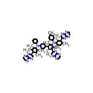 CC1=C(c2cnc3nccnc3n2)C(C)C(c2ccc(N(c3ccccc3)c3c(C)c(C)c(-c4cnc5nccnc5n4)c(C)c3C)cc2)C(C)=C1N(c1ccc(C)cc1)c1c(C)cc(C)c(-c2cnc3nccnc3n2)c1C